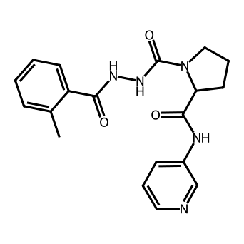 Cc1ccccc1C(=O)NNC(=O)N1CCCC1C(=O)Nc1cccnc1